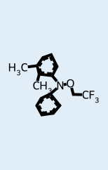 Cc1cccc(N(OCC(F)(F)F)c2ccccc2)c1C